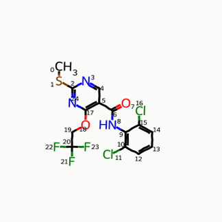 CSc1ncc(C(=O)Nc2c(Cl)cccc2Cl)c(OCC(F)(F)F)n1